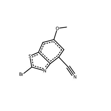 COc1cc(C#N)c2nc(Br)sc2c1